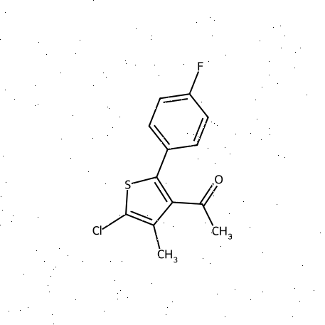 CC(=O)c1c(-c2ccc(F)cc2)sc(Cl)c1C